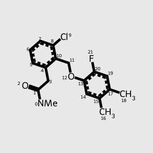 CNC(=O)Cc1cccc(Cl)c1COc1cc(C)c(C)cc1F